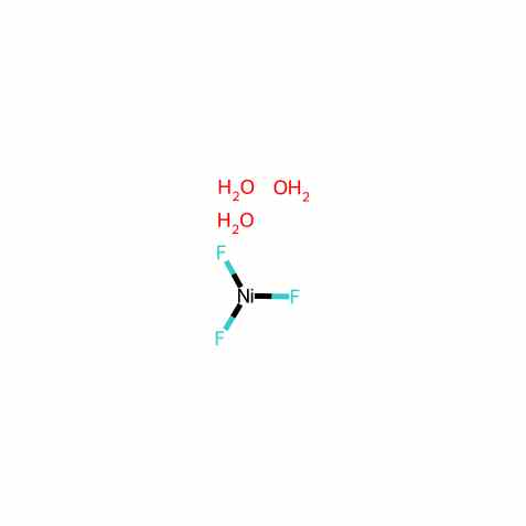 O.O.O.[F][Ni]([F])[F]